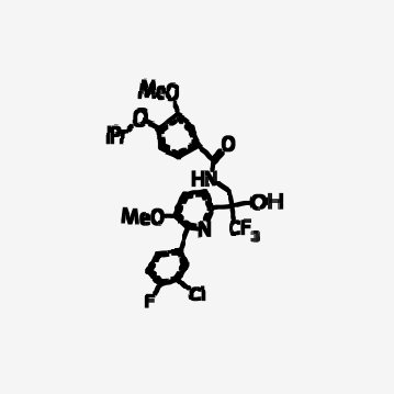 COc1cc(C(=O)NCC(O)(c2ccc(OC)c(-c3ccc(F)c(Cl)c3)n2)C(F)(F)F)ccc1OC(C)C